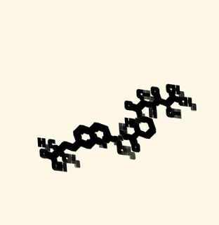 CC(C)[C@H](O)C(=O)N[C@@H](C)C(=O)N1CCC[C@@H](C(=O)NN(C)c2ccc3ccc(/C=C/C(C)(C)C(=O)O)cc3n2)N1